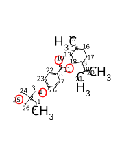 CCC1(COc2ccc(C(=O)OC3CC(C)CCC3C(C)C)cc2)COC1